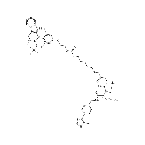 Cc1ncsc1-c1ccc(CNC(=O)[C@@H]2C[C@@H](O)CN2C(=O)C(NC(=O)COCCCCCNC(=O)OCCOc2cc(F)c([C@@H]3c4[nH]c5ccccc5c4C[C@@H](C)N3CC(C)(C)F)c(F)c2)C(C)(C)C)cc1